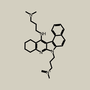 C=[N+](C)CCCn1c2ccc3ccccc3c2c2c(NCCCN(C)C)c3c(nc21)CCCC3